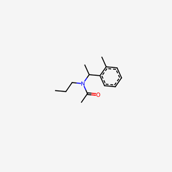 CCCN(C(C)=O)C(C)c1ccccc1C